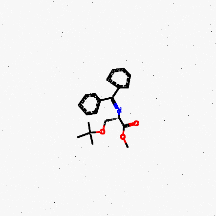 COC(=O)[C@H](COC(C)(C)C)N=C(c1ccccc1)c1ccccc1